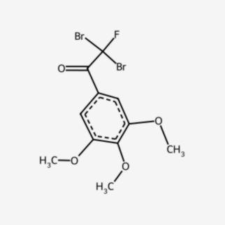 COc1cc(C(=O)C(F)(Br)Br)cc(OC)c1OC